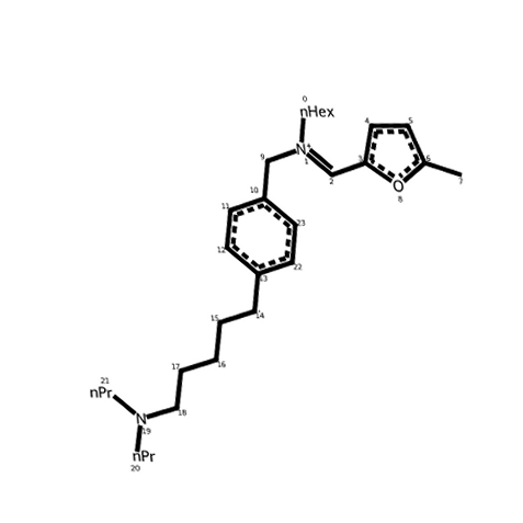 CCCCCC[N+](=Cc1ccc(C)o1)Cc1ccc([CH]CCCCN(CCC)CCC)cc1